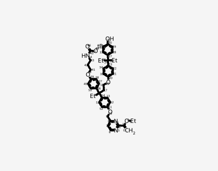 C=C(OCC)c1nccc(COc2ccc(C(CC)(CCOc3ccc(C(CC)(CC)c4ccc(O)cc4)cc3)c3ccc(OCCCNC(=O)OC(C)(C)C)cc3)cc2)n1